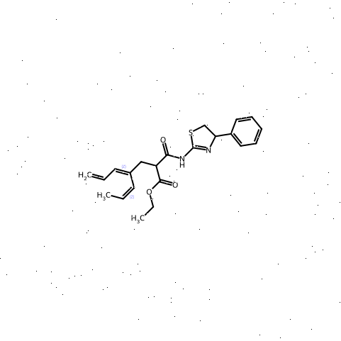 C=C/C=C(\C=C/C)CC(C(=O)NC1=NC(c2ccccc2)CS1)C(=O)OCC